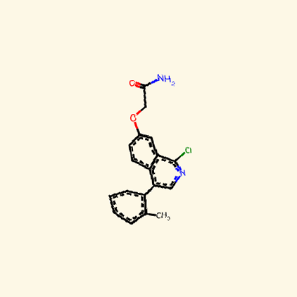 Cc1ccccc1-c1cnc(Cl)c2cc(OCC(N)=O)ccc12